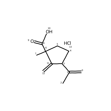 C=C(C)C1CCC(C)(C(=O)O)C1=C.Cl